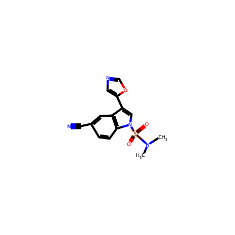 CN(C)S(=O)(=O)n1cc(-c2cnco2)c2cc(C#N)ccc21